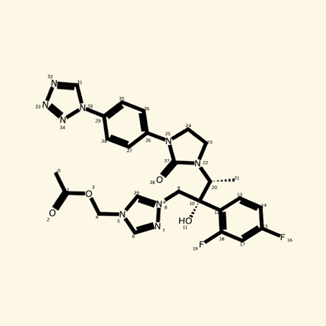 CC(=O)OCn1cn[n+](C[C@](O)(c2ccc(F)cc2F)[C@@H](C)N2CCN(c3ccc(-n4cnnn4)cc3)C2=O)c1